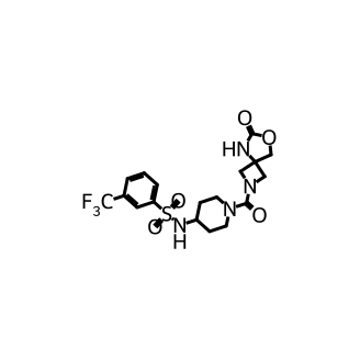 O=C1NC2(CO1)CN(C(=O)N1CCC(NS(=O)(=O)c3cccc(C(F)(F)F)c3)CC1)C2